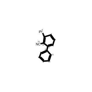 CC(C)c1cccc(-c2ccccc2)c1C#N